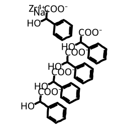 O=C([O-])C(O)c1ccccc1.O=C([O-])C(O)c1ccccc1.O=C([O-])C(O)c1ccccc1.O=C([O-])C(O)c1ccccc1.O=C([O-])C(O)c1ccccc1.[Na+].[Zr+4]